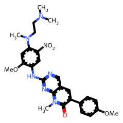 COc1ccc(-c2cc3cnc(Nc4cc([N+](=O)[O-])c(N(C)CCN(C)C)cc4OC)nc3n(C)c2=O)cc1